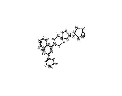 c1cc(-c2nc(N3CCC4(CC3)CCN([C@@H]3CCOC3)C4)c3ccncc3n2)ccn1